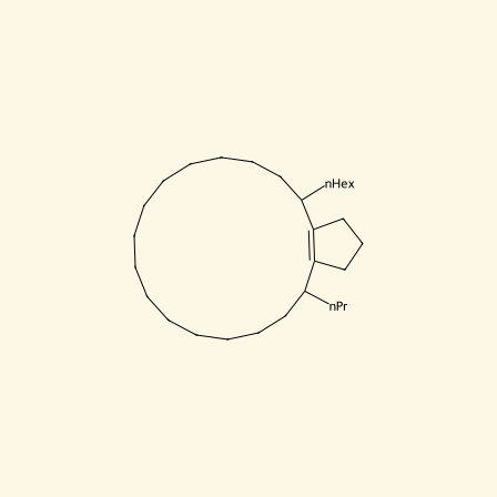 CCCCCCC1CCCCCCCCCCCCCCC(CCC)C2=C1CCC2